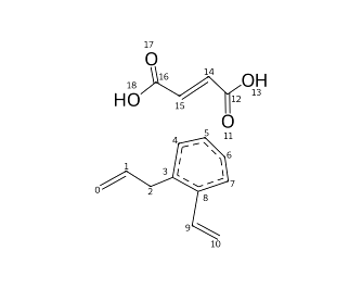 C=CCc1ccccc1C=C.O=C(O)C=CC(=O)O